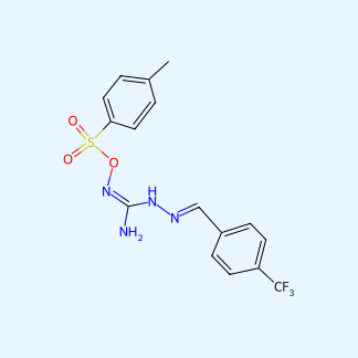 Cc1ccc(S(=O)(=O)ON=C(N)NN=Cc2ccc(C(F)(F)F)cc2)cc1